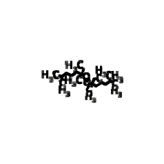 CCC(C)(CCCC(C)C)OOC(C)(CC)CCCC(C)C